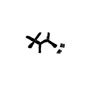 CN([SiH](C)C)[Si](C)(C)C.[Ar].[LiH]